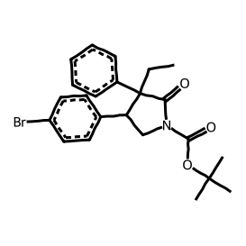 CCC1(c2ccccc2)C(=O)N(C(=O)OC(C)(C)C)CC1c1ccc(Br)cc1